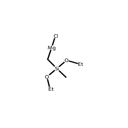 CCO[Si](C)([CH2][Mg][Cl])OCC